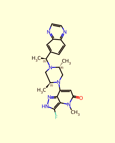 C[C@@H]1CN(c2cc(=O)n(C)c3c(F)[nH]nc23)[C@@H](C)CN1[C@@H](C)c1ccc2nccnc2c1